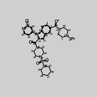 CC(C)N1CCN(C(=O)c2ccc3c(c2)cc(C(=O)N2CCN(S(=O)(=O)N4CCCCC4)CC2)n3-c2ccnc(Cl)c2)CC1